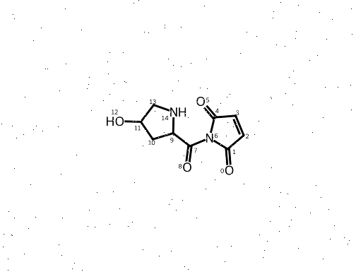 O=C1C=CC(=O)N1C(=O)C1CC(O)CN1